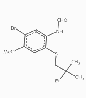 CCC(C)(C)CSc1cc(OC)c(Br)cc1NC=O